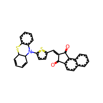 O=C1/C(=C\c2ccc(N3c4ccccc4SC4C=CC=CC43)s2)C(=O)c2c1ccc1ccccc21